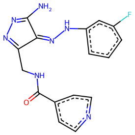 NC1=NN=C(CNC(=O)c2ccncc2)/C1=N/Nc1cccc(F)c1